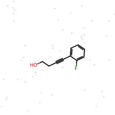 OCCC#Cc1ccccc1F